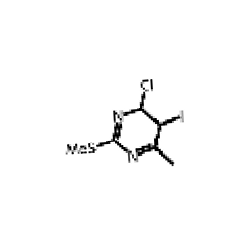 CSC1=NC(Cl)C(I)C(C)=N1